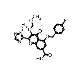 COCOc1c(-c2ncnn2C)oc2cc(C(=O)O)cc(OCc3ccc(F)cc3)c2c1=O